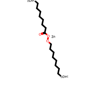 CCCCCCCCCCCCCCCCCCOOC(=O)CCCCCCCCCCCCCCCCC.[Zn]